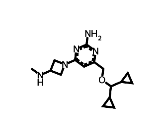 CNC1CN(c2cc(COC(C3CC3)C3CC3)nc(N)n2)C1